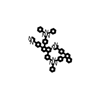 c1ccc(-c2nc(-c3ccccc3)nc(-c3ccc(-c4c(-c5ccc(-c6ccncn6)cc5)ccc5c(-c6cccc(-c7nc(-c8ccccc8)nc(-c8ccc(-c9c(-c%10ccc(-c%11cncnc%11)cc%10)ccc%10ccccc9%10)cc8)n7)c6)cccc45)cc3)n2)cc1